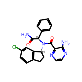 NC(=O)[C@@H](c1ccccc1)N(C(=O)c1nccnc1N)[C@@H]1CCc2ccc(Cl)cc21